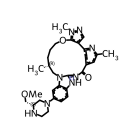 COC[C@@H]1CN(c2ccc3c(c2)N2C[C@H](C)CCCOc4c(cnn4C)-c4cc(cc(C)n4)C(=O)/N=C/2N3)CCN1